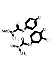 CCCCN(C)C(=O)Nc1ccc(Cl)c(Cl)c1.CON(C)C(=O)Nc1ccc(Cl)cc1